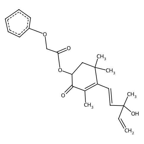 C=CC(C)(O)/C=C/C1=C(C)C(=O)C(OC(=O)COc2ccccc2)CC1(C)C